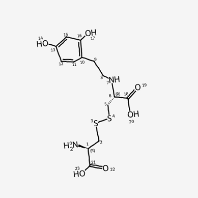 N[C@@H](CSSC[C@H](NCCc1ccc(O)cc1O)C(=O)O)C(=O)O